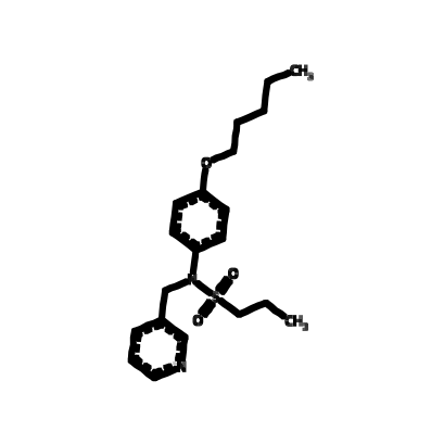 CCCCCOc1ccc(N(Cc2cccnc2)S(=O)(=O)CCC)cc1